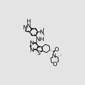 C[C@@H]1COCCN1C(=O)[C@H]1CCc2c(sc3ncnc(Nc4cc5cn[nH]c5cc4N(C)C)c23)C1